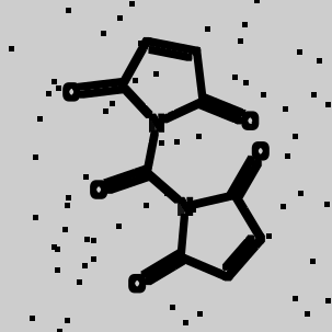 O=C1C=CC(=O)N1C(=O)N1C(=O)C=CC1=O